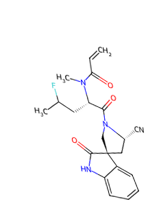 C=CC(=O)N(C)[C@@H](CC(C)F)C(=O)N1C[C@]2(C[C@H]1C#N)C(=O)Nc1ccccc12